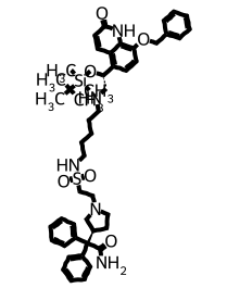 CC(C)(C)[Si](C)(C)O[C@@H](CNCCCCCNS(=O)(=O)CCN1CC[C@@H](C(C(N)=O)(c2ccccc2)c2ccccc2)C1)c1ccc(OCc2ccccc2)c2[nH]c(=O)ccc12